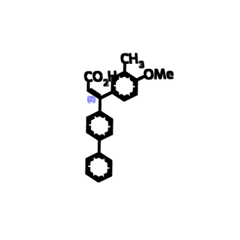 COc1ccc(/C(=C\C(=O)O)c2ccc(-c3ccccc3)cc2)cc1C